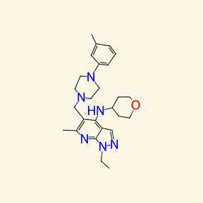 CCn1ncc2c(NC3CCOCC3)c(CN3CCN(c4cccc(C)c4)CC3)c(C)nc21